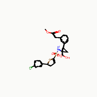 COC(=O)Cc1cccc(C2CC2(NS(=O)(=O)C2=CCC(c3ccc(Cl)cc3)S2)C(=O)O)c1